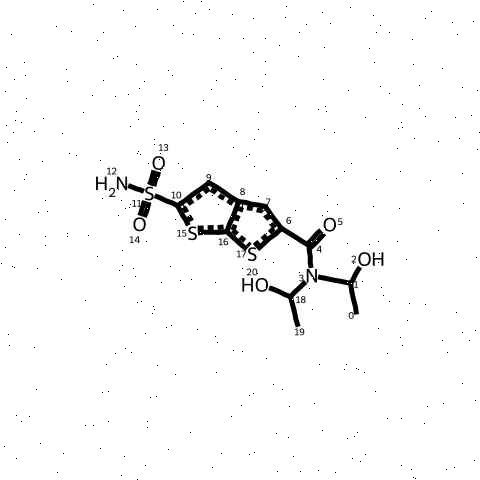 CC(O)N(C(=O)c1cc2cc(S(N)(=O)=O)sc2s1)C(C)O